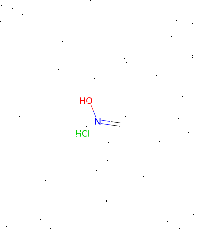 C=NO.Cl